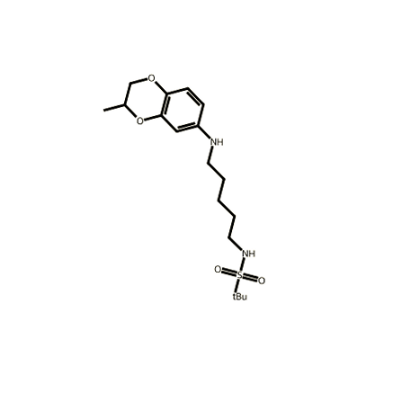 CC1COc2ccc(NCCCCCNS(=O)(=O)C(C)(C)C)cc2O1